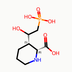 O=C(O)[C@@H]1NCCC[C@@H]1C(O)CP(=O)(O)O